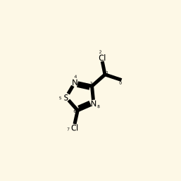 CC(Cl)c1nsc(Cl)n1